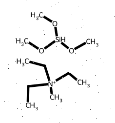 CC[N+](C)(CC)CC.CO[SiH](OC)OC